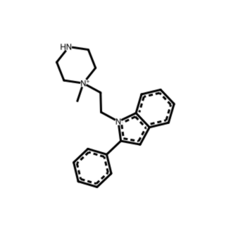 C[N+]1(CCn2c(-c3ccccc3)cc3ccccc32)CCNCC1